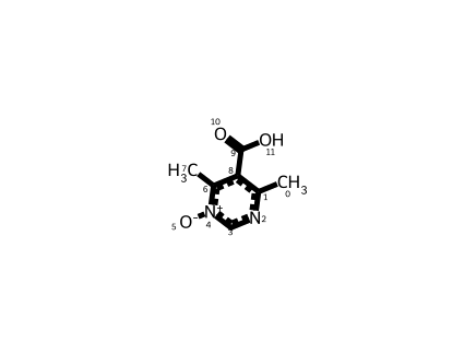 Cc1nc[n+]([O-])c(C)c1C(=O)O